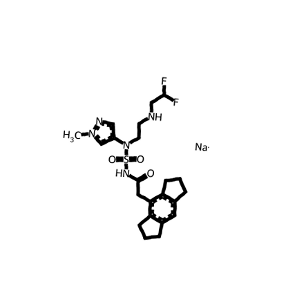 Cn1cc(N(CCNCC(F)F)S(=O)(=O)NC(=O)Cc2c3c(cc4c2CCC4)CCC3)cn1.[Na]